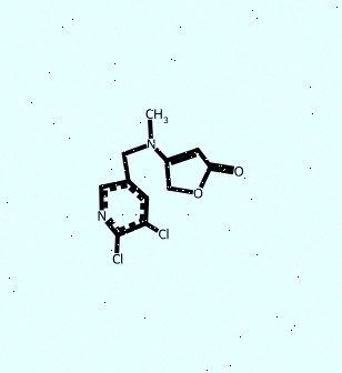 CN(Cc1cnc(Cl)c(Cl)c1)C1=CC(=O)OC1